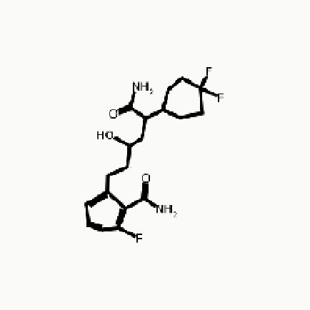 NC(=O)c1c(F)cccc1C[CH]C(O)CC(C(N)=O)C1CCC(F)(F)CC1